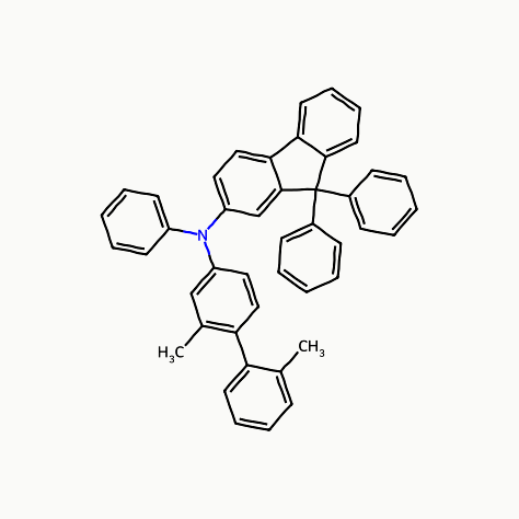 Cc1ccccc1-c1ccc(N(c2ccccc2)c2ccc3c(c2)C(c2ccccc2)(c2ccccc2)c2ccccc2-3)cc1C